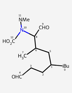 CCC(C)C(CCC=O)CC(C)C(C=O)N(NC)C(=O)O